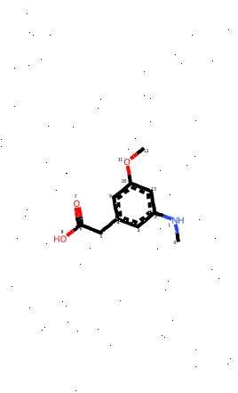 CNc1cc(CC(=O)O)cc(OC)c1